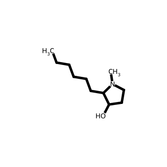 CCCCCCC1C(O)CCN1C